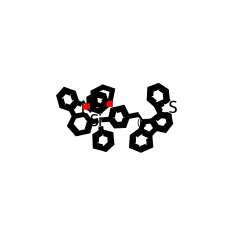 C1=CC2c3ccccc3N(C3=CCCC=C3)C2C([Si](c2ccccc2)(c2ccccc2)c2ccc(C[C@@H]3c4ccccc4-c4ccc5sc6ccccc6c5c43)cc2)=C1